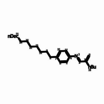 C=C(/C=N/c1ccc(CCCCCCCCCCCCCCCCC)cc1)CCCC